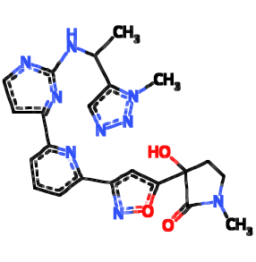 CC(Nc1nccc(-c2cccc(-c3cc(C4(O)CCN(C)C4=O)on3)n2)n1)c1cnnn1C